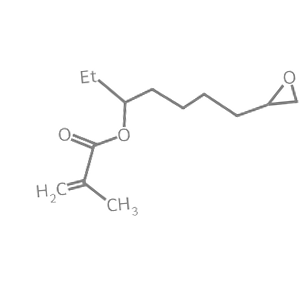 C=C(C)C(=O)OC(CC)CCCCC1CO1